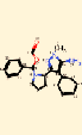 Cn1nc(C2CCCN2C(OC=O)c2ccccc2)c(C2CC=CCC2)c1N